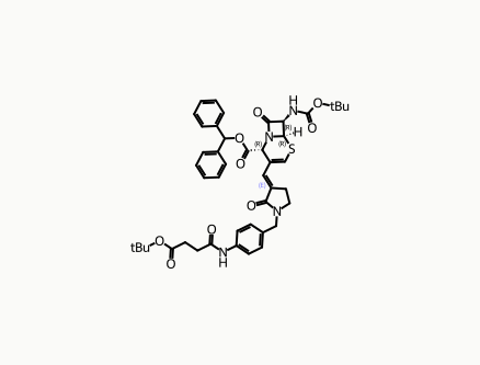 CC(C)(C)OC(=O)CCC(=O)Nc1ccc(CN2CC/C(=C\C3=CS[C@@H]4[C@H](NC(=O)OC(C)(C)C)C(=O)N4[C@H]3C(=O)OC(c3ccccc3)c3ccccc3)C2=O)cc1